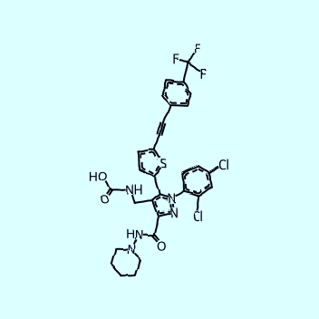 O=C(O)NCc1c(C(=O)NN2CCCCC2)nn(-c2ccc(Cl)cc2Cl)c1-c1ccc(C#Cc2ccc(C(F)(F)F)cc2)s1